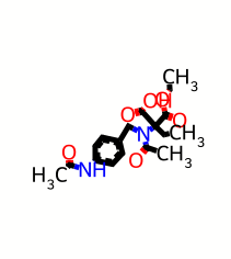 CCOC(=O)C(CC)(C(=O)O)N(Cc1ccc(NC(C)=O)cc1)C(C)=O